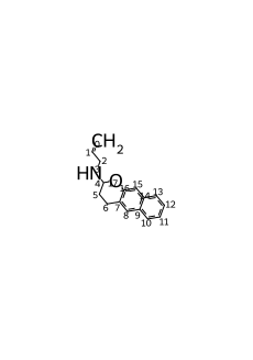 C=CCNC1CCc2cc3ccccc3cc2O1